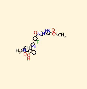 C=CCOC(=O)c1ccc(N2CCN(C(=O)c3ccc(-c4ccc(-c5cc(C(=O)N(C)C)c(O)c6ccccc56)nc4)c(F)c3)CC2)nn1